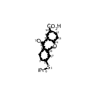 CC(C)Sc1ccc2c(=O)c3cc(C(=O)O)ccc3oc2c1